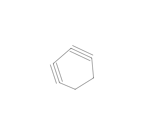 C1#CCCC#C1